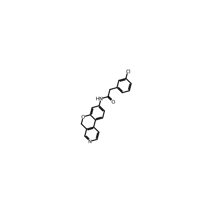 O=C(Cc1cccc(Cl)c1)Nc1ccc2c(c1)OCc1cnccc1-2